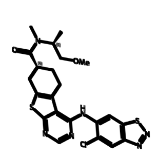 COC[C@H](C)N(C)C(=O)[C@H]1CCc2c(sc3ncnc(Nc4cc5snnc5cc4Cl)c23)C1